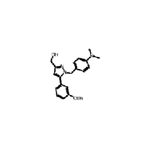 CC(C)COc1cccc(-c2cc(CO)nn2Cc2ccc(N(C)C)cc2)c1